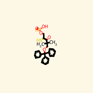 CC(C)(COC(c1ccccc1)(c1ccccc1)c1ccccc1)C(=O)C(S)CO[PH](=O)O